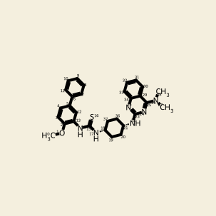 COc1ccc(-c2ccccc2)cc1NC(=S)N[C@H]1CC[C@@H](Nc2nc(N(C)C)c3ccccc3n2)CC1